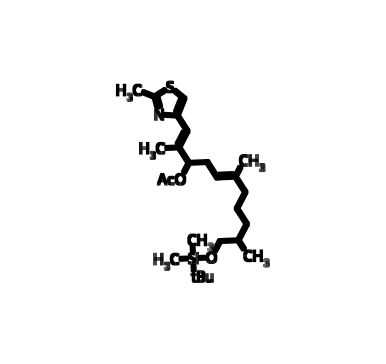 CC(=O)OC(C/C=C(\C)CCCC(C)CO[Si](C)(C)C(C)(C)C)/C(C)=C/c1csc(C)n1